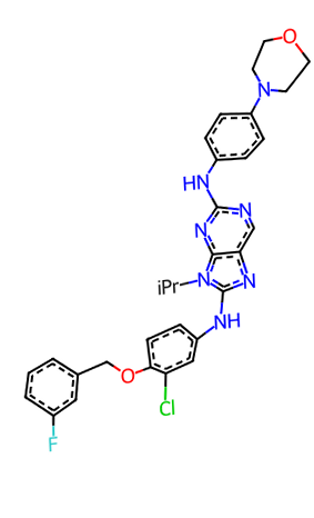 CC(C)n1c(Nc2ccc(OCc3cccc(F)c3)c(Cl)c2)nc2cnc(Nc3ccc(N4CCOCC4)cc3)nc21